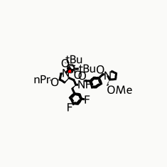 CCCO[C@@H]1C[C@H]([C@@H](O[Si](C)(C)C(C)(C)C)[C@H](Cc2cc(F)cc(F)c2)NC(=O)c2cccc(C(=O)N3CCC[C@@H]3COC)c2)N(C(=O)OC(C)(C)C)C1